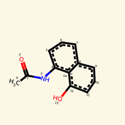 CC(=O)Nc1cccc2cccc(O)c12